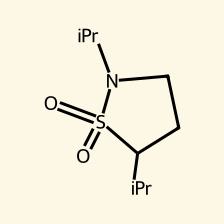 CC(C)C1CCN(C(C)C)S1(=O)=O